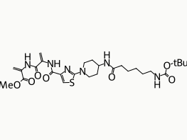 C=C(NC(=O)c1csc(N2CCC(NC(=O)CCCCCNC(=O)OC(C)(C)C)CC2)n1)C(=O)NC(=C)C(=O)OC